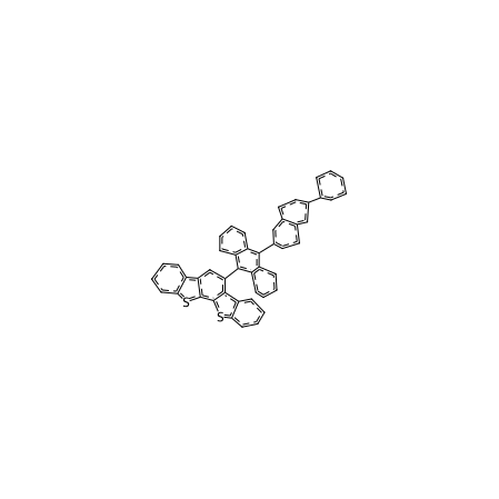 c1ccc(-c2ccc3cc(-c4c5ccccc5c(-c5cc6c7ccccc7sc6c6sc7ccccc7c56)c5ccccc45)ccc3c2)cc1